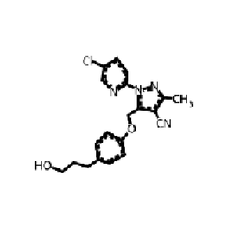 Cc1nn(-c2ccc(Cl)cn2)c(COc2ccc(CCCO)cc2)c1C#N